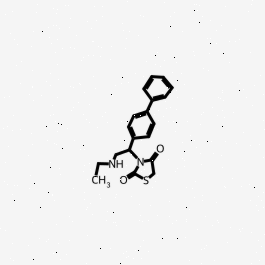 CCNCC(c1ccc(-c2ccccc2)cc1)N1C(=O)CSC1=O